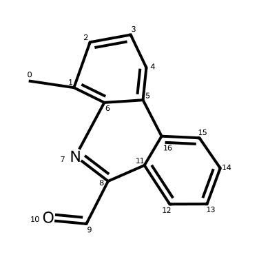 Cc1cccc2c1nc(C=O)c1ccccc12